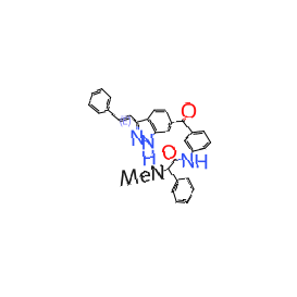 CNC(C(=O)Nc1cccc(C(=O)c2ccc3c(/C=C/c4ccccc4)n[nH]c3c2)c1)c1ccccc1